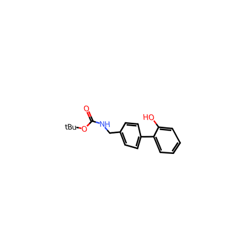 CC(C)(C)OC(=O)NCc1ccc(-c2ccccc2O)cc1